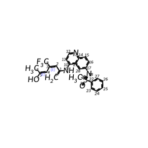 C=C(/C=C(\C=C(/C)O)C(F)(F)F)Nc1ccnc2ccc(N=[S@](C)(=O)c3ccccc3)cc12